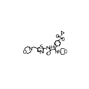 O=C(Nc1ncc(CN2CCOCC2)s1)/C(=N/N1CCOCC1)c1ccc(S(=O)(=O)C2CC2)cc1